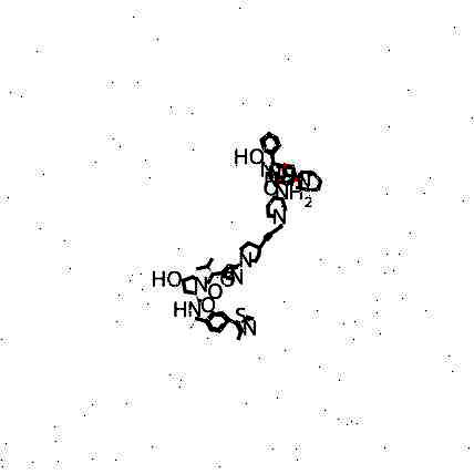 Cc1ncsc1-c1ccc([C@H](C)NC(=O)[C@@H]2C[C@@H](O)CN2C(=O)[C@@H](c2cc(N3CCC(C#CCN4CCC(Oc5cc(N6C7CCC6CN(c6cc(-c8ccccc8O)nnc6N)C7)ccn5)CC4)CC3)no2)C(C)C)cc1